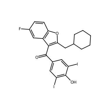 O=C(c1cc(I)c(O)c(I)c1)c1c(CC2CCCCC2)oc2ccc(F)cc12